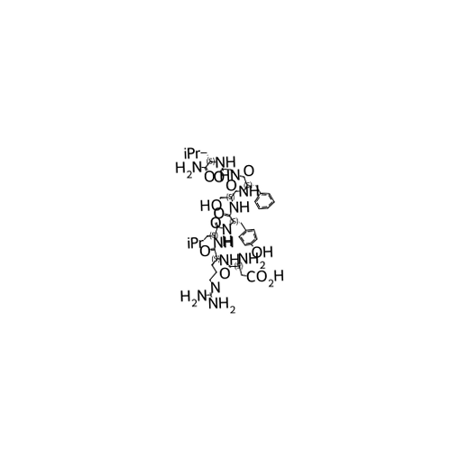 CC(C)C[C@H](NC(=O)CNC(=O)[C@H](Cc1ccccc1)NC(=O)[C@H](CO)NC(=O)[C@H](Cc1ccc(O)cc1)NC(=O)[C@H](CC(C)C)NC(=O)[C@H](CCCN=C(N)N)NC(=O)[C@@H](N)CC(=O)O)C(N)=O